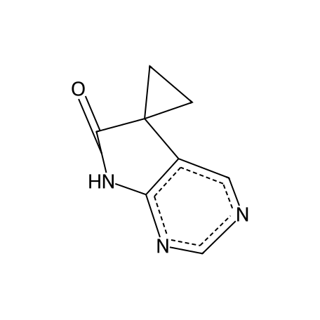 O=C1Nc2ncncc2C12CC2